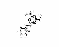 C=C(C)C(=O)OC(CCc1ccccc1)OCCC